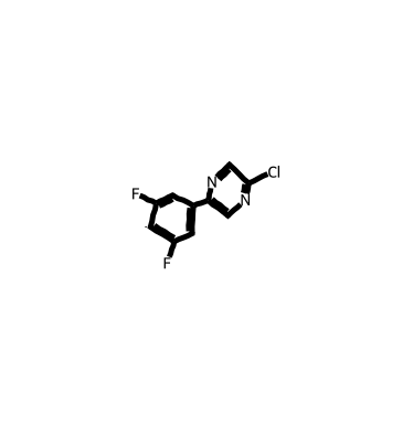 Fc1[c]c(F)cc(-c2cnc(Cl)cn2)c1